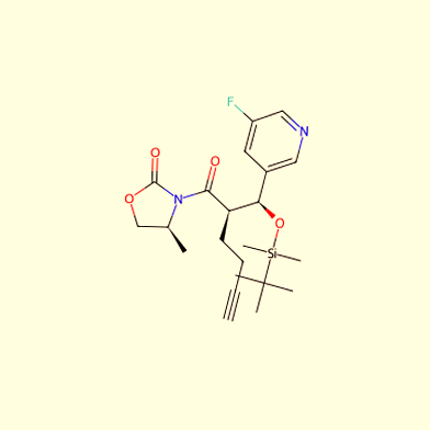 C#CCC[C@@H](C(=O)N1C(=O)OC[C@@H]1C)[C@H](O[Si](C)(C)C(C)(C)C)c1cncc(F)c1